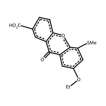 CCOc1cc(SC)c2oc3ccc(C(=O)O)cc3c(=O)c2c1